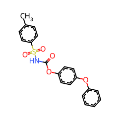 Cc1ccc(S(=O)(=O)NC(=O)Oc2ccc(Oc3ccccc3)cc2)cc1